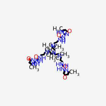 Cc1cc(=O)cc(NC(=O)NCCC[N+](C)(C)CCN(CC[N+](C)(C)CCCNC(=O)Nc2nc(=O)cc(C)[nH]2)CC[N+](C)(C)CCCNC(=O)Nc2nc(=O)cc(C)[nH]2)[nH]1